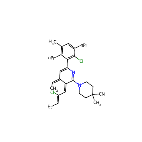 C/C=c1/cc(-c2c(Cl)c(CCC)cc(C)c2CCC)nc(N2CCC(C)(C#N)CC2)/c1=C/C(Cl)=C/CC